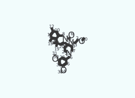 COCCN1C(=O)N2Cc3cc(C)cc(C)c3C(C)(C)C=C2C12CCN(Cc1cc(OC)cc(OC)c1)CC2